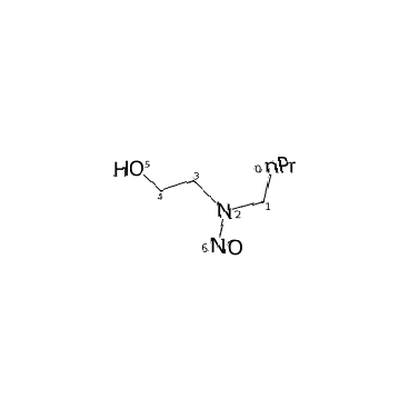 CCCCN(CCO)N=O